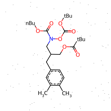 CCCCOC(=O)N(CC(COC(=O)C(C)(C)C)Cc1ccc(C)c(C)c1)OC(=O)OC(C)(C)C